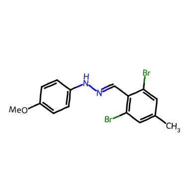 COc1ccc(N/N=C/c2c(Br)cc(C)cc2Br)cc1